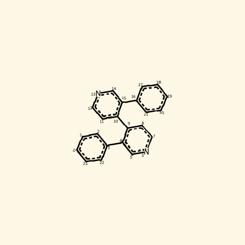 c1ccc(-c2cnccc2-c2ccncc2-c2ccccc2)cc1